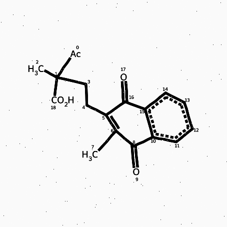 CC(=O)C(C)(CCC1=C(C)C(=O)c2ccccc2C1=O)C(=O)O